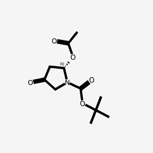 CC(=O)O[C@H]1CC(=O)CN1C(=O)OC(C)(C)C